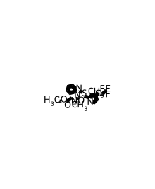 CCOC(=O)CN(C)C(=O)n1c(SCc2nccc(OCC(F)(F)F)c2C)nc2ccccc21